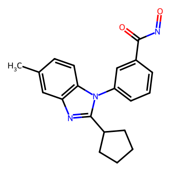 Cc1ccc2c(c1)nc(C1CCCC1)n2-c1cccc(C(=O)N=O)c1